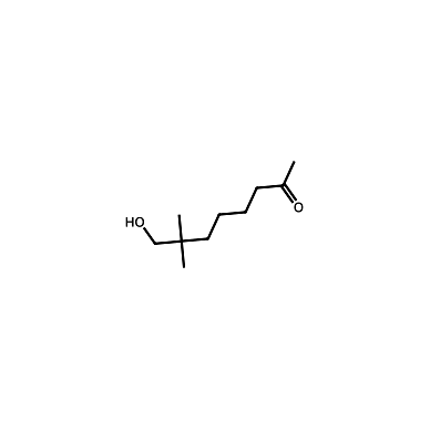 CC(=O)CCCCC(C)(C)CO